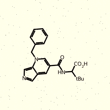 CC(C)(C)C(NC(=O)c1cc2cncc-2n(Cc2ccccc2)c1)C(=O)O